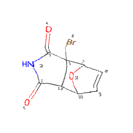 O=C1NC(=O)C2(Br)C3C=CC(O3)C12